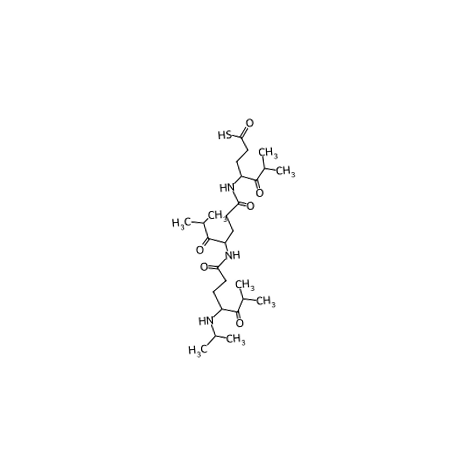 CC(C)NC(CCC(=O)NC(CCC(=O)NC(CCC(=O)S)C(=O)C(C)C)C(=O)C(C)C)C(=O)C(C)C